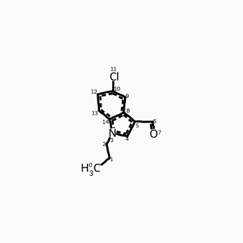 CCCn1cc(C=O)c2cc(Cl)ccc21